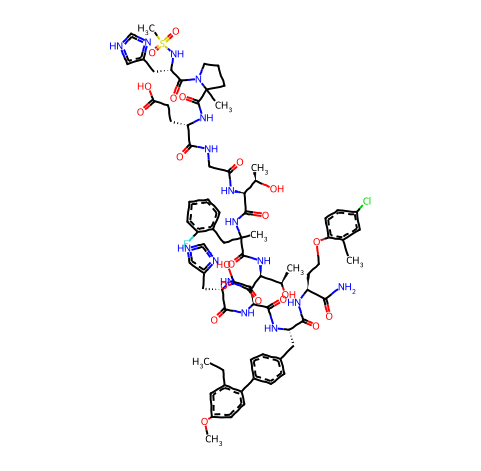 CCc1cc(OC)ccc1-c1ccc(C[C@H](NC(=O)[C@H](CC(=O)O)NC(=O)[C@H](Cc2c[nH]cn2)NC(=O)[C@@H](NC(=O)C(C)(Cc2ccccc2F)NC(=O)[C@@H](NC(=O)CNC(=O)[C@H](CCC(=O)O)NC(=O)C2(C)CCCN2C(=O)[C@H](Cc2c[nH]cn2)NS(C)(=O)=O)[C@@H](C)O)[C@@H](C)O)C(=O)N[C@@H](CCOc2ccc(Cl)cc2C)C(N)=O)cc1